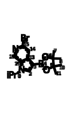 CC(C)n1cc(B2OC(C)(C)C(C)(C)O2)c2cc(Br)ncc21